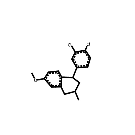 COc1ccc2c(c1)CC(C)CC2c1ccc(Cl)c(Cl)c1